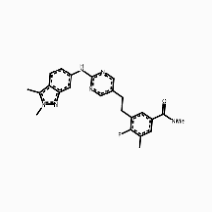 CNC(=O)c1cc(C)c(F)c(CCc2cnc(Nc3ccc4c(C)n(C)nc4c3)nc2)c1